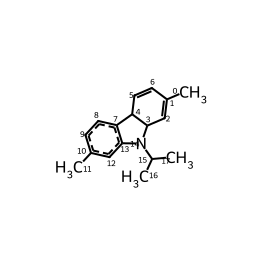 CC1=CC2C(C=C1)c1ccc(C)cc1N2C(C)C